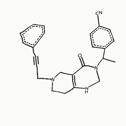 CC(c1ccc(C#N)cc1)N1CNC2=C(CN(CC#Cc3ccccc3)CC2)C1=O